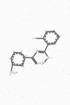 C=C(/N=C(\ON)c1ccccc1F)c1cccc(C(=O)O)c1